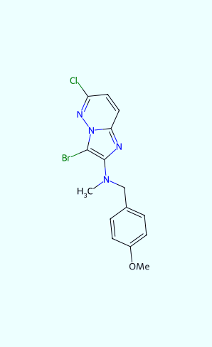 COc1ccc(CN(C)c2nc3ccc(Cl)nn3c2Br)cc1